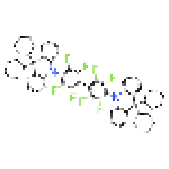 Fc1c(F)c(N2c3ccccc3C(C3CCCCC3)(C3CCCCC3)c3ccccc32)c(F)c(F)c1-c1c(F)c(F)c(N2c3ccccc3C(C3CCCCC3)(C3CCCCC3)c3ccccc32)c(F)c1F